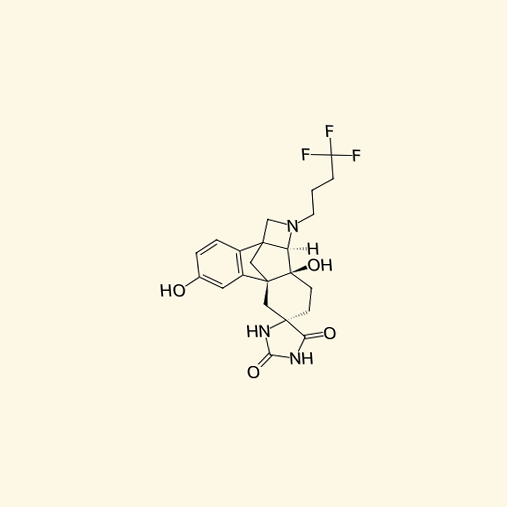 O=C1NC(=O)[C@@]2(CC[C@@]3(O)[C@@H]4N(CCCC(F)(F)F)CC45C[C@@]3(C2)c2cc(O)ccc25)N1